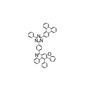 c1ccc(-c2nc(-c3ccc(-c4nc5ccccc5c5c(-c6ccccc6)c6c(cc45)oc4ccccc46)cc3)nc(-c3ccc4c5ccccc5c5ccccc5c4c3)n2)cc1